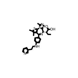 CCC(C(=O)O)[C@@H]1N=C(c2ccc(NCCc3cccnc3)cc2)c2c(sc(C)c2C)-n2c(C)nnc21